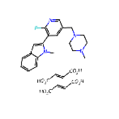 CN1CCN(Cc2cnc(F)c(-c3cc4ccccc4n3C)c2)CC1.O=C(O)C=CC(=O)O.O=C(O)C=CC(=O)O